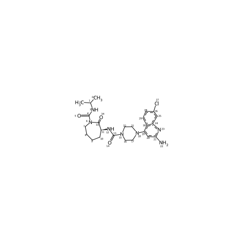 CC(C)NC(=O)N1CCCC[C@H](NC(=O)N2CCN(c3cc(N)nc4cc(Cl)ccc34)CC2)C1=O